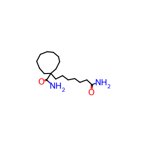 NC(=O)CCCCCCC1(C(N)=O)CCCCCCCCC1